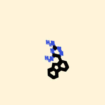 Nc1nnc(-c2cccc3c2Cc2ccccc2-3)c(N)n1